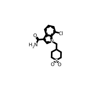 NC(=O)c1cn(CC2CCS(=O)(=O)CC2)c2c(Cl)cccc12